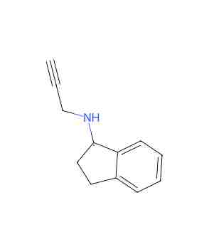 C#CCN[C]1CCc2ccccc21